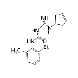 CCc1cccc(C)c1NC(=O)NC(=N)NC1CC=CC1